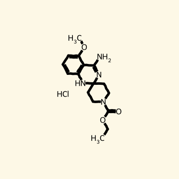 CCOC(=O)N1CCC2(CC1)N=C(N)c1c(cccc1OC)N2.Cl